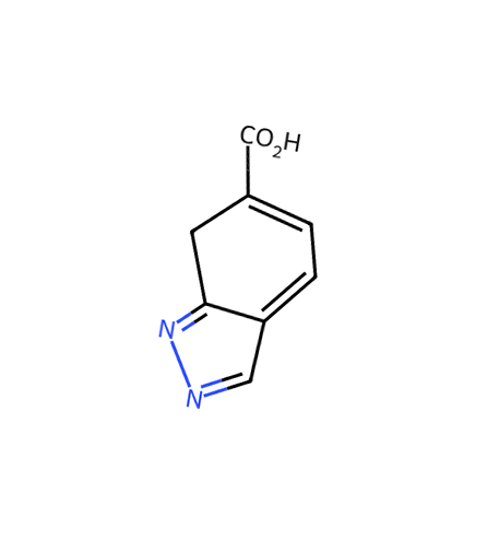 O=C(O)C1=CC=C2C=NN=C2C1